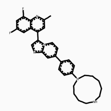 Cc1cc(-c2cnc3cc(-c4ccc(N5CCCCCNCCCC5)cc4)ccn23)c2cc(F)cc(F)c2n1